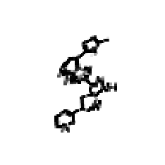 Cc1ccc(-c2ccnc3[nH]c(-c4n[nH]c5ncc(-c6cccnc6)cc45)nc23)s1